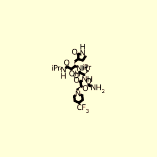 CC(C)C[C@H](NC(=O)[C@H](CN1CCC(C(F)(F)F)CC1)OC(N)=O)C(=O)N[C@@H](CC1CCNC1=O)C(O)C(=O)NC(C)C